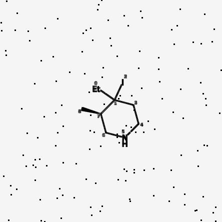 CCC1(I)CCNC[C@H]1C